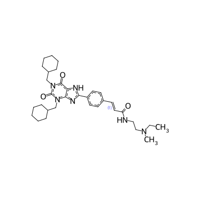 CCN(C)CCNC(=O)/C=C/c1ccc(-c2nc3c([nH]2)c(=O)n(CC2CCCCC2)c(=O)n3CC2CCCCC2)cc1